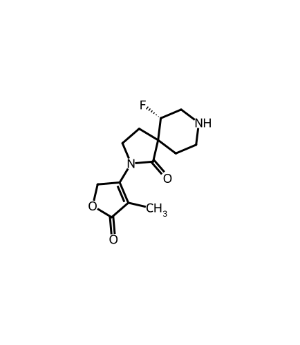 CC1=C(N2CCC3(CCNC[C@H]3F)C2=O)COC1=O